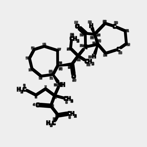 C=C(C)C(=O)C(C)(CCC)N[C@H]1CCCCCC[C@H]1C(=O)C(C)(CC)N1C(=O)[C@@H]2CCCCCC[C@@H]21